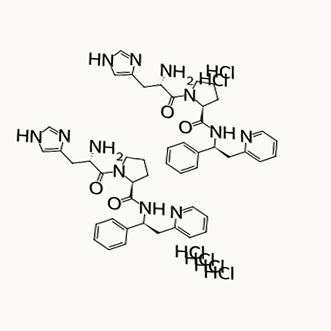 Cl.Cl.Cl.Cl.Cl.Cl.N[C@@H](Cc1c[nH]cn1)C(=O)N1CCC[C@H]1C(=O)N[C@@H](Cc1ccccn1)c1ccccc1.N[C@@H](Cc1c[nH]cn1)C(=O)N1CCC[C@H]1C(=O)N[C@@H](Cc1ccccn1)c1ccccc1